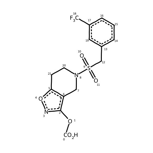 O=C(O)Oc1noc2c1CN(S(=O)(=O)Cc1cccc(C(F)(F)F)c1)CC2